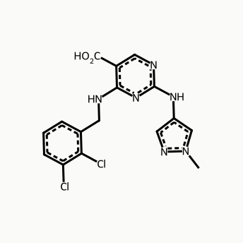 Cn1cc(Nc2ncc(C(=O)O)c(NCc3cccc(Cl)c3Cl)n2)cn1